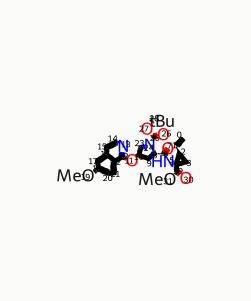 C=C[C@@H]1C[C@]1(NC(=O)[C@@H]1C[C@@H](Oc2nccc3cc(OC)ccc23)CN1C(=O)OC(C)(C)C)C(=O)OC